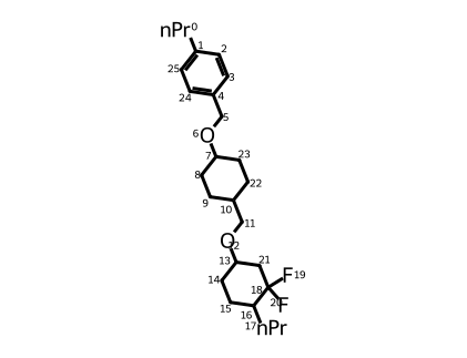 CCCc1ccc(COC2CCC(COC3CCC(CCC)C(F)(F)C3)CC2)cc1